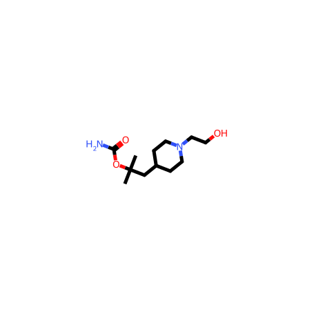 CC(C)(CC1CCN(CCO)CC1)OC(N)=O